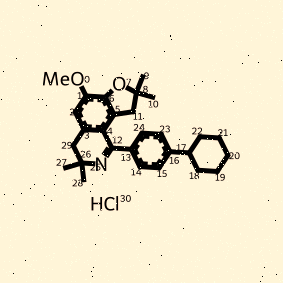 COc1cc2c(c3c1OC(C)(C)C3)C(c1ccc(C3CCCCC3)cc1)=NC(C)(C)C2.Cl